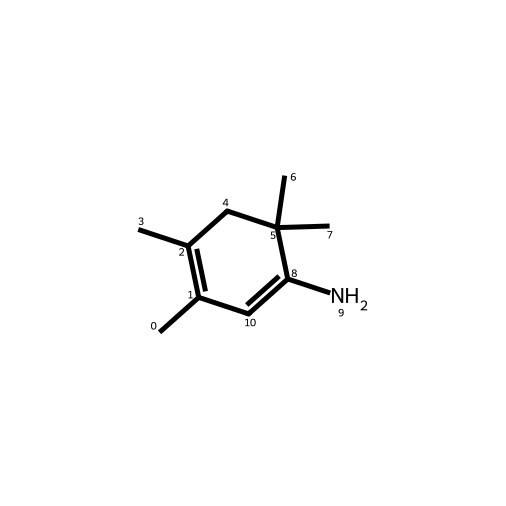 CC1=C(C)CC(C)(C)C(N)=C1